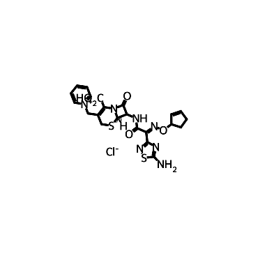 Nc1nc(C(=NOC2C=CCC2)C(=O)NC2C(=O)N3C(C(=O)O)=C(C[n+]4ccccc4)CS[C@H]23)ns1.[Cl-]